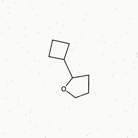 C1CC(C2CCCO2)C1